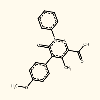 COc1ccc(-c2c(C)c(C(=O)O)nn(-c3ccccc3)c2=O)cc1